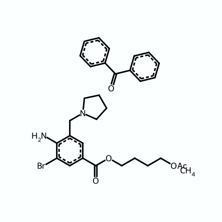 C.CC(=O)OCCCCOC(=O)c1cc(Br)c(N)c(CN2CCCC2)c1.O=C(c1ccccc1)c1ccccc1